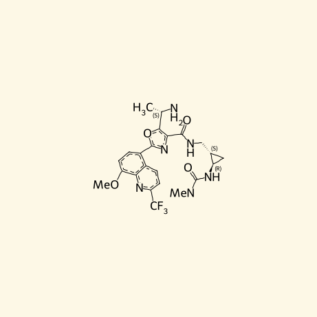 CNC(=O)N[C@@H]1C[C@H]1CNC(=O)c1nc(-c2ccc(OC)c3nc(C(F)(F)F)ccc23)oc1[C@H](C)N